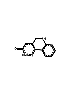 O=c1cc2c(n[nH]1)-c1ccccc1[SH]C2